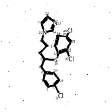 Clc1ccc(CC(CCCn2ccnc2)Sc2ccc(Cl)cc2Cl)cc1